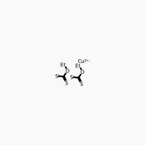 CCOC(=S)[S-].CCOC(=S)[S-].[Cu+2]